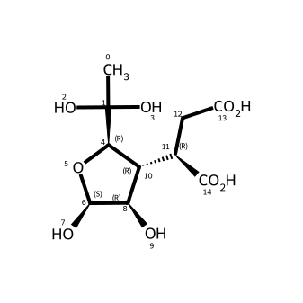 CC(O)(O)[C@@H]1O[C@H](O)[C@H](O)[C@H]1[C@@H](CC(=O)O)C(=O)O